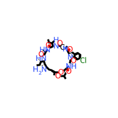 CCC(C)C1NC(=O)CN(C)C(=O)[C@@H](Cc2ccc(Cl)cc2)N(C)C(=O)[C@H](C)NC(=O)[C@@H](CC(C)C)OC(=O)/C(C)=C/C[C@H](N)[C@H](C)[C@@H]([C@@H](C)CC)NC(=O)[C@@H](C)NC1=O